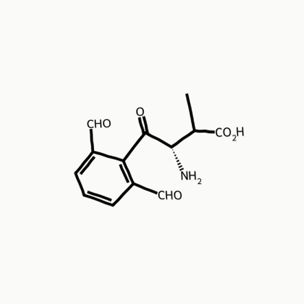 CC(C(=O)O)[C@H](N)C(=O)c1c(C=O)cccc1C=O